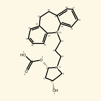 O=C(O)O[C@H]1C[C@@H](O)CN1CCCN1c2ccccc2CCc2ccccc21